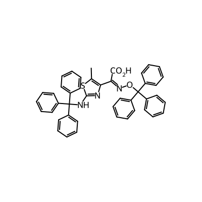 Cc1sc(NC(c2ccccc2)(c2ccccc2)c2ccccc2)nc1C(=NOC(c1ccccc1)(c1ccccc1)c1ccccc1)C(=O)O